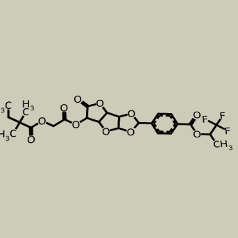 CCC(C)(C)C(=O)OCC(=O)OC1C(=O)OC2C3OC(c4ccc(C(=O)OC(C)C(F)(F)F)cc4)OC3OC12